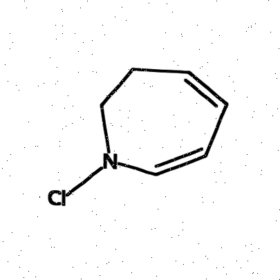 ClN1C=CC=CCC1